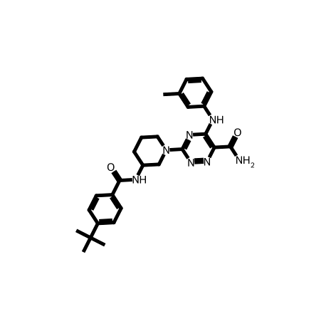 Cc1cccc(Nc2nc(N3CCCC(NC(=O)c4ccc(C(C)(C)C)cc4)C3)nnc2C(N)=O)c1